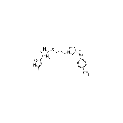 Cc1cc(-c2nnc(SCCCN3CCC4(C[C@H]4c4ccc(C(F)(F)F)cc4)C3)n2C)on1